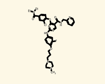 CCN(CC)C(=O)c1ccc(Oc2nc(Nc3ccc(OCCCN4CCN(C)CC4)c(F)c3)ncc2C(=O)NCc2ccccn2)c(Cl)c1